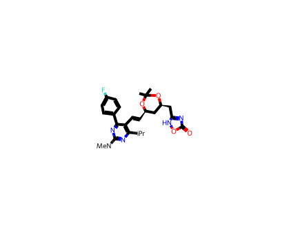 CNc1nc(-c2ccc(F)cc2)c(/C=C/[C@@H]2C[C@H](Cc3nc(=O)o[nH]3)OC(C)(C)O2)c(C(C)C)n1